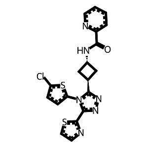 O=C(N[C@H]1C[C@H](c2nnc(-c3nccs3)n2-c2ccc(Cl)s2)C1)c1ccccn1